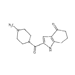 CN1CCN(C(=O)c2cc3c([nH]2)CCCC3=O)CC1